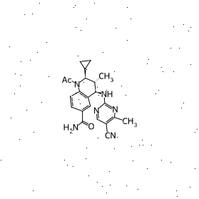 CC(=O)N1c2ccc(C(N)=O)cc2[C@H](Nc2ncc(C#N)c(C)n2)[C@@H](C)[C@@H]1C1CC1